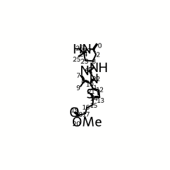 C=C1CC(Nc2ncc(C)c(-c3ccc(CCCC(=O)OC)s3)n2)CC(C)(C)N1